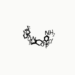 Nc1cc(Cl)c(C(F)(F)F)c([C@@H]2Cc3nc(OC[C@@]45CCCN4C[C@H](F)C5)ncc3CO2)c1